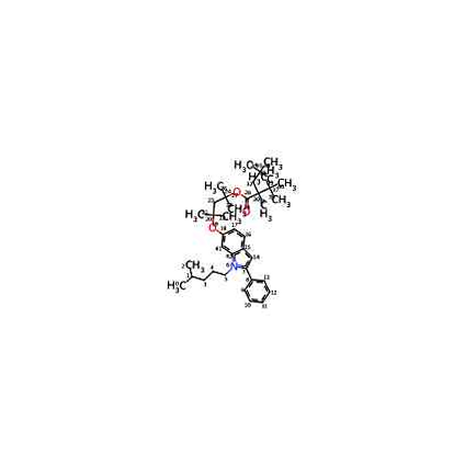 CC(C)CCCn1c(-c2ccccc2)cc2ccc(OC(C)(C)CC(C)(C)OC(=O)C(C)(CC(C)(C)C)C(C)(C)C)cc21